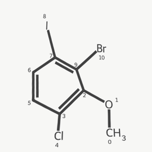 COc1c(Cl)ccc(I)c1Br